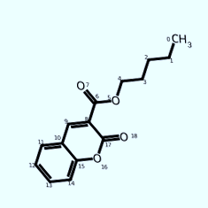 CCCCCOC(=O)c1cc2ccccc2oc1=O